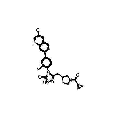 O=C(C1CC1)N1CCC(Cc2n[nH]c(=O)n2-c2ccc(-c3ccc4cc(Cl)cnc4c3)cc2F)C1